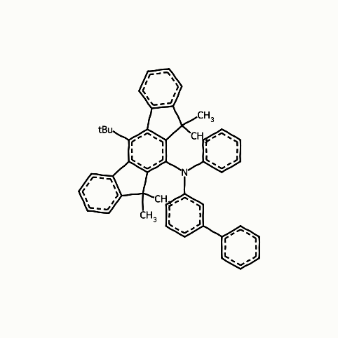 CC(C)(C)c1c2c(c(N(c3ccccc3)c3cccc(-c4ccccc4)c3)c3c1-c1ccccc1C3(C)C)C(C)(C)c1ccccc1-2